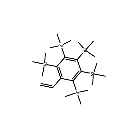 C=Cc1c([Si](C)(C)C)c([Si](C)(C)C)c([Si](C)(C)C)c([Si](C)(C)C)c1[Si](C)(C)C